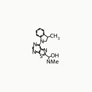 CNC(O)c1nc2c(N3CC(C)c4ccccc43)ncnc2s1